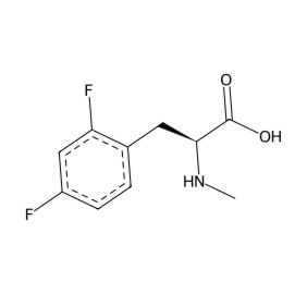 CN[C@@H](Cc1ccc(F)cc1F)C(=O)O